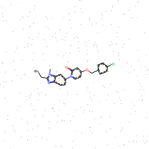 Cn1c(CC(C)(C)C)nc2ccc(-n3ccc(OCc4ccc(Cl)cc4)cc3=O)cc21